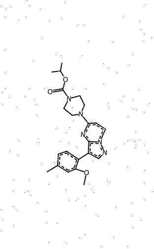 COc1cc(C)ccc1-c1cnn2ccc(N3CCN(C(=O)OC(C)C)CC3)nc12